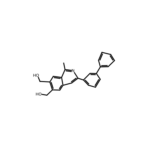 Cc1nc(-c2cccc(-c3ccccc3)c2)cc2cc(CO)c(CO)cc12